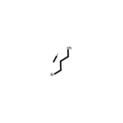 CCCCCCBr.CI